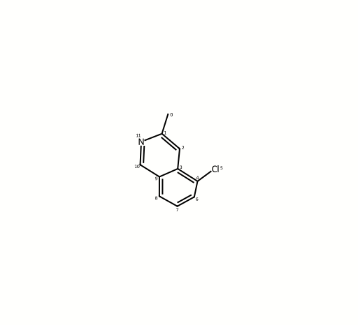 Cc1cc2c(Cl)cccc2cn1